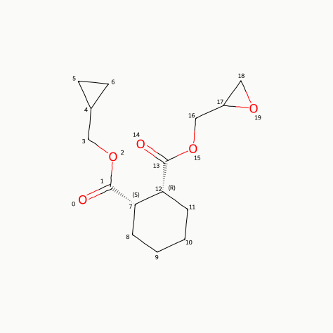 O=C(OCC1CC1)[C@H]1CCCC[C@H]1C(=O)OCC1CO1